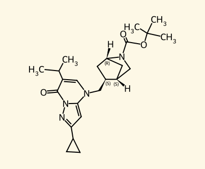 CC(C)c1cn(C[C@H]2C[C@H]3C[C@@H]2CN3C(=O)OC(C)(C)C)c2cc(C3CC3)nn2c1=O